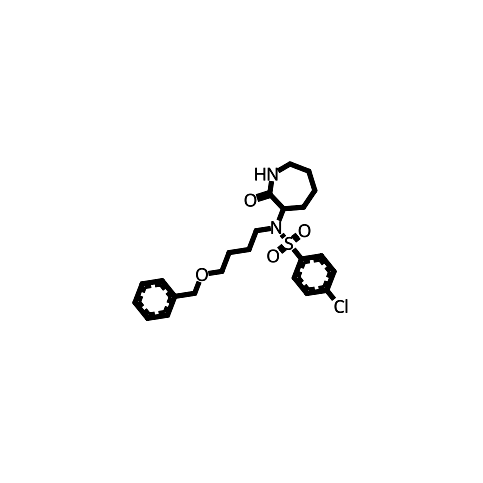 O=C1NCCCCC1N(CCCCOCc1ccccc1)S(=O)(=O)c1ccc(Cl)cc1